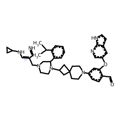 CC(C)c1ccccc1C1CN(C/C(C=N)=C/NC2CC2)CCN1C1CC2(CCN(c3ccc(C=O)c(Oc4cnc5[nH]ccc5c4)c3)CC2)C1